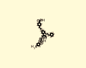 Cc1ccc(S(=O)(=O)NC(=O)NN=C2C(=O)N(CCc3ccccc3)c3ccc(SCCc4ccc(C(=O)O)cc4)cc32)cc1